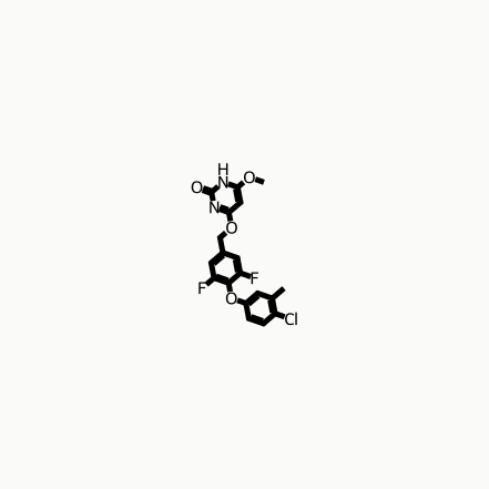 COc1cc(OCc2cc(F)c(Oc3ccc(Cl)c(C)c3)c(F)c2)nc(=O)[nH]1